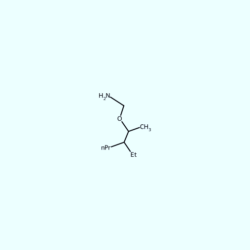 CCCC(CC)C(C)OCN